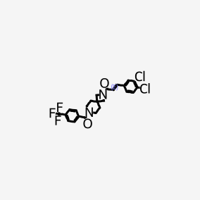 O=C(/C=C/c1ccc(Cl)c(Cl)c1)N1CC2(CCN(C(=O)c3ccc(C(F)(F)F)cc3)CC2)C1